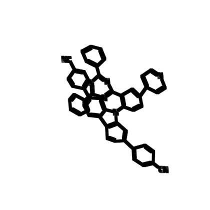 N#Cc1ccc(-c2ccc3c4ccc(-c5ccc(C#N)cc5)cc4n(-c4ccc(-c5ccncc5)cc4-c4nc(-c5ccccc5)nc(-c5ccccc5)n4)c3c2)cc1